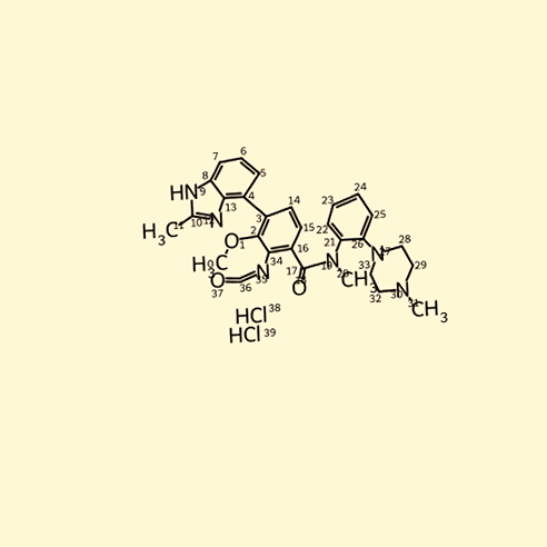 COc1c(-c2cccc3[nH]c(C)nc23)ccc(C(=O)N(C)c2ccccc2N2CCN(C)CC2)c1N=C=O.Cl.Cl